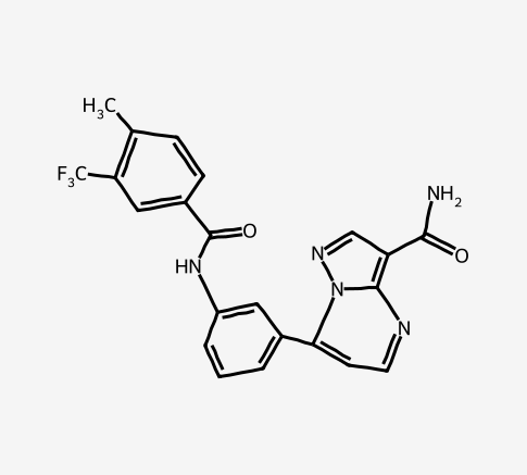 Cc1ccc(C(=O)Nc2cccc(-c3ccnc4c(C(N)=O)cnn34)c2)cc1C(F)(F)F